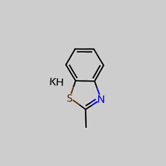 Cc1nc2ccccc2s1.[KH]